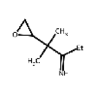 CCC(=N)C(C)(C)C1CO1